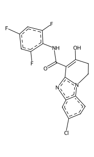 O=C(Nc1c(F)cc(F)cc1F)C1=C(O)CCn2c1nc1cc(Cl)ccc12